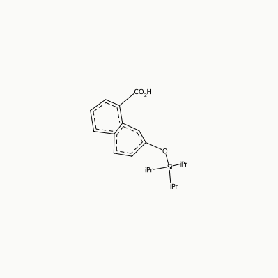 CC(C)[Si](Oc1ccc2cccc(C(=O)O)c2c1)(C(C)C)C(C)C